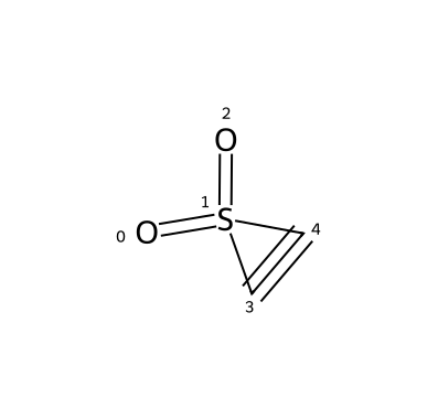 O=S1(=O)C#C1